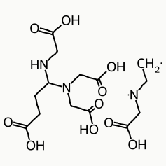 O=C(O)CCC(NCC(=O)O)N(CC(=O)O)CC(=O)O.[CH2]C[N]CC(=O)O